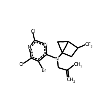 C=C(C)CN(c1nc(Cl)nc(Cl)c1Br)C12CC(C(F)(F)F)C1C2